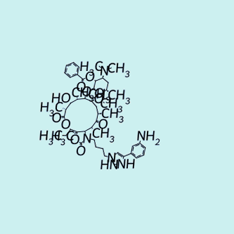 CCC1OC(=O)[C@H](C)[C@@H](O)[C@H](C)[C@@H](OC2O[C@H](C)C[C@H](N(C)C)[C@H]2OC(=O)c2ccccc2)[C@@](C)(OC)C[C@@H](C)C(=O)[C@H](C)C2N(CCCCN3C=C(c4cccc(N)c4)NN3)C(=O)O[C@]12C